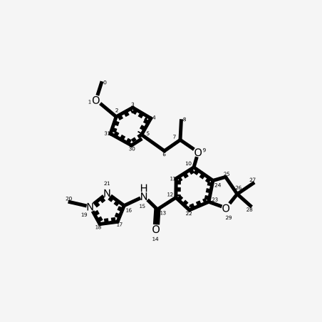 COc1ccc(CC(C)Oc2cc(C(=O)Nc3ccn(C)n3)cc3c2CC(C)(C)O3)cc1